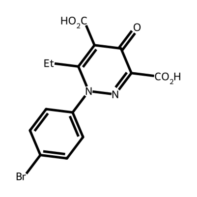 CCc1c(C(=O)O)c(=O)c(C(=O)O)nn1-c1ccc(Br)cc1